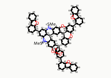 CSN1c2cc3c(cc2B2c4cc5c(cc4N(SC)c4cc(-c6cccc7c6oc6ccccc67)cc1c42)Oc1cc(-c2cccc4c2oc2ccccc24)cc2c1B5c1ccccc1O2)B1c2ccccc2Oc2cc(-c4cccc5c4oc4ccccc45)cc(c21)O3